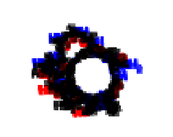 CC(=O)N[C@@H](CC(C)C)C(=O)N[C@H](C(=O)C(=O)[C@H](Cc1ccccc1)NN[C@]1(C)CCCCCC/C=C/CCC[C@@](C)(C(=O)CN[C@@H](C)C(=O)CCN[C@@H](C)C(=O)CCN[C@@H](C)C(=O)CCN[C@@H](C)C(=O)CN[C@H](C)C(=O)N[C@H](C)C(N)=O)NC(=O)[C@H](CC(C)C)NC(=O)[C@H](CCC(N)=O)NCN[C@@H](C)C(=O)CC(=O)[C@H](Cc2c[nH]c3ccccc23)NN[C@@H](Cc2ccc(O)cc2)C(=O)N[C@@H](CCC(=O)O)C(=O)C1=O)[C@@H](C)O